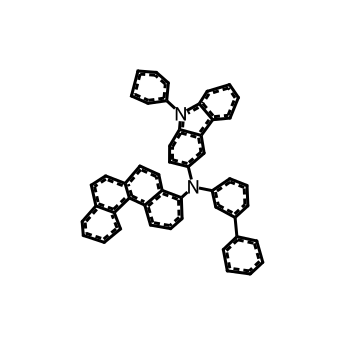 c1ccc(-c2cccc(N(c3ccc4c(c3)c3ccccc3n4-c3ccccc3)c3cccc4c3ccc3ccc5ccccc5c34)c2)cc1